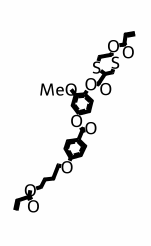 C=CC(=O)OCCCCOc1ccc(C(=O)Oc2ccc(OC(=O)C3CSC(OC(=O)C=C)CS3)c(OC)c2)cc1